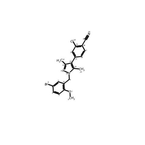 COc1ccc(Br)cc1Cn1nc(C)c(-c2ccc(C#N)c(Cl)c2)c1C